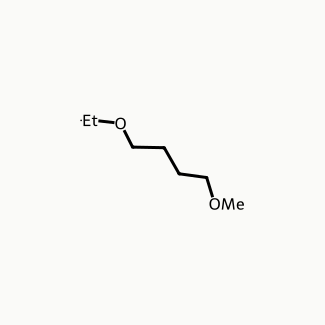 C[CH]OCCCCOC